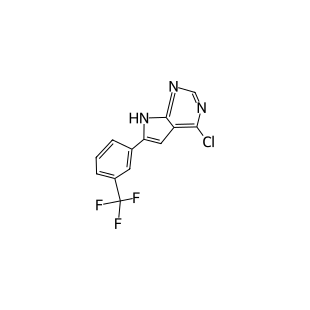 FC(F)(F)c1cccc(-c2cc3c(Cl)ncnc3[nH]2)c1